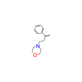 C=C(CCN1CCOCC1)c1ccccc1